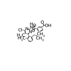 Cc1cccc(CC(C)C)c1-c1nc(NS(=O)(=O)c2cccc(C(=O)O)c2)nc(Cl)c1C